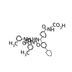 Cc1cccc(NS(=O)(=O)c2cc(C)ccc2NC(=O)NC(c2ccc(C(=O)NCCC(=O)O)cc2)c2ccc(C3CCCCC3)cc2)c1